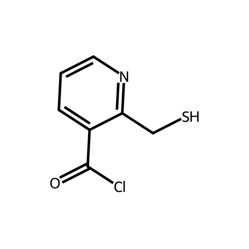 O=C(Cl)c1cccnc1CS